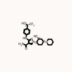 N#C[C@H]1C[C@H](N2CCCCC2)CC[C@@H]1n1cc(C(N)=O)c(Nc2ccc([C@H](O)C(F)(F)F)cc2)n1